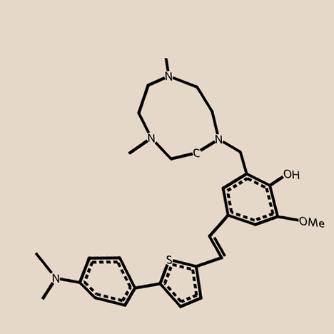 COc1cc(/C=C/c2ccc(-c3ccc(N(C)C)cc3)s2)cc(CN2CCN(C)CCN(C)CC2)c1O